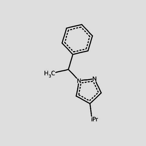 CC(C)c1cnn(C(C)c2ccccc2)c1